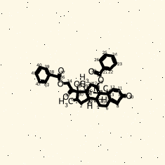 CC1C[C@H]2[C@@H]3CCC4=CC(=O)C=C[C@]4(C)[C@@]3(Br)[C@H](OC(=O)c3ccccc3)C[C@]2(C)[C@@]1(O)C(=O)COC(=O)c1ccccc1